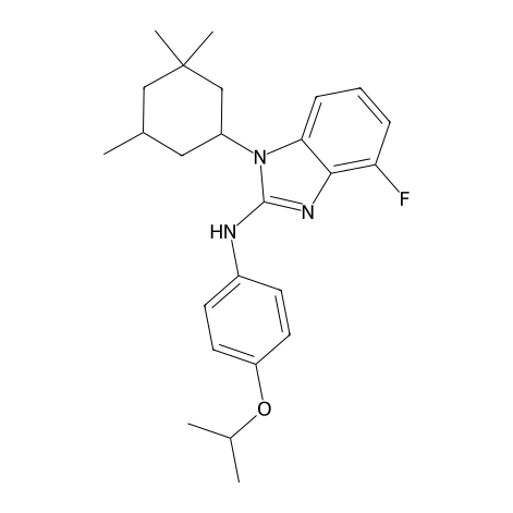 CC1CC(n2c(Nc3ccc(OC(C)C)cc3)nc3c(F)cccc32)CC(C)(C)C1